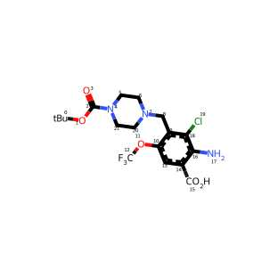 CC(C)(C)OC(=O)N1CCN(Cc2c(OC(F)(F)F)cc(C(=O)O)c(N)c2Cl)CC1